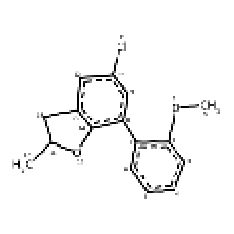 COc1ccccc1-c1cc(Cl)cc2c1OC(C)C2